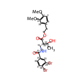 COc1ccc(CCOC(=O)[C@@H](CNC(=O)c2ccc(Br)c(Br)c2)[C@@H](C)O)cc1OC